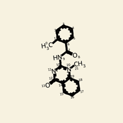 Cc1ccccc1C(=O)Nc1nc(=O)c2ccccc2n1C